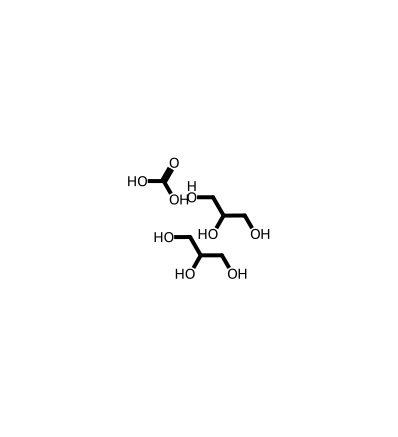 O=C(O)O.OCC(O)CO.OCC(O)CO